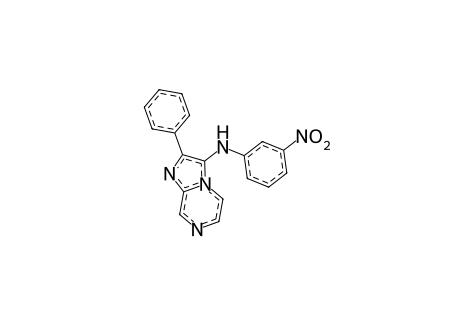 O=[N+]([O-])c1cccc(Nc2c(-c3ccccc3)nc3cnccn23)c1